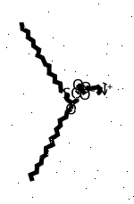 CCCCCCCCCCCCCCCCOC(COP(=O)([O-])OCC[N+](C)(C)C)CSCCCCCCCCCCCCCCCC